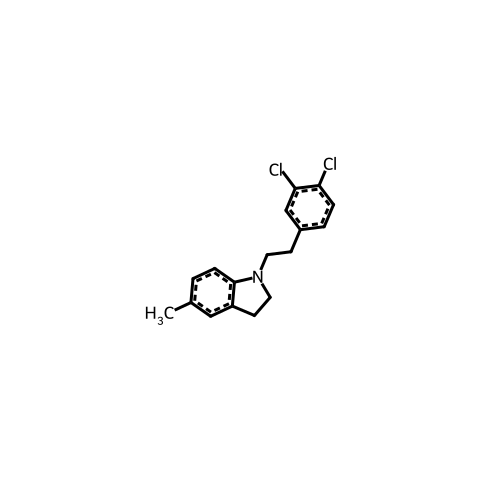 Cc1ccc2c(c1)CCN2CCc1ccc(Cl)c(Cl)c1